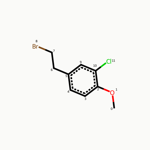 COc1ccc(CCBr)cc1Cl